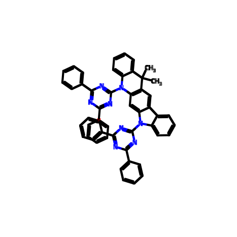 CC1(C)c2ccccc2N(c2nc(-c3ccccc3)nc(-c3ccccc3)n2)c2cc3c(cc21)c1ccccc1n3-c1nc(-c2ccccc2)nc(-c2ccccc2)n1